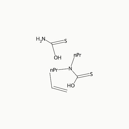 C=CC.CCCN(CCC)C(O)=S.NC(O)=S